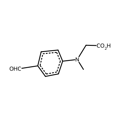 CN(CC(=O)O)c1ccc(C=O)cc1